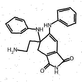 NCCC1(Nc2ccccc2)CC2=C(C=C1Nc1ccccc1)C(=O)NC2=O